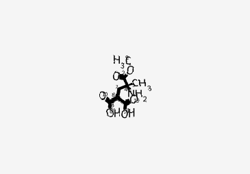 COC(=O)[C@](C)(N)CC(C(=O)O)C(=O)O